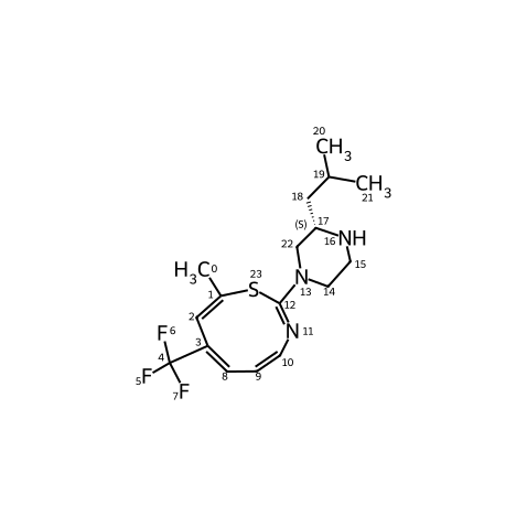 Cc1cc(C(F)(F)F)cccnc(N2CCN[C@@H](CC(C)C)C2)s1